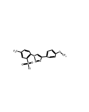 CCS(=O)(=O)c1cc(C(F)(F)F)ccc1-n1cc(-c2ccc(OC(F)(F)F)cc2)nn1